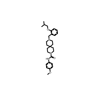 COc1ccc(NC(=O)N2CCC3(CCN(Cc4ccccc4OCC(C)C)CC3)CC2)cc1